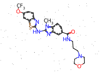 Cn1c(Nc2nc3ccc(OC(F)(F)F)cc3s2)nc2cc(C(=O)NCCCN3CCOCC3)ccc21